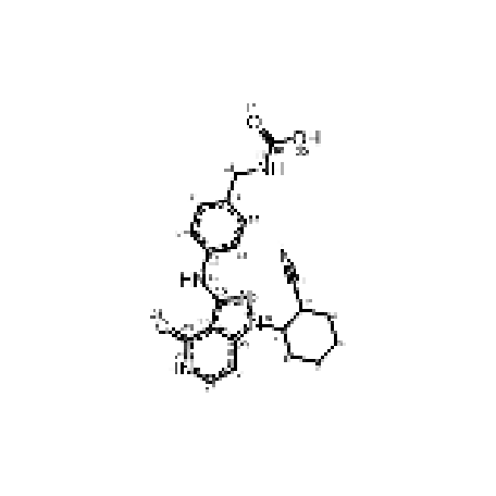 N#CC1CCCCC1n1nc(Nc2ccc(CNC(=O)O)cc2)c2c(=O)[nH]ccc21